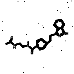 CC(=O)NCCNC(=O)c1ccc(/C=C/c2n[nH]c3ccccc23)cc1